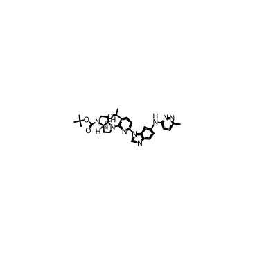 CC(=O)c1ccc(-n2cnc3ccc(Nc4ccc(C)nn4)cc32)nc1N1CC[C@H]2[C@H]1CCN2C(=O)OC(C)(C)C